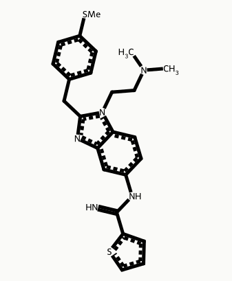 CSc1ccc(Cc2nc3cc(NC(=N)c4cccs4)ccc3n2CCN(C)C)cc1